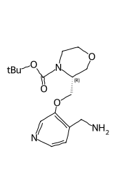 CC(C)(C)OC(=O)N1CCOC[C@@H]1COc1cnccc1CN